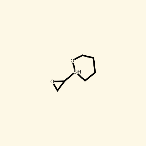 C1CC[SiH](C2CO2)OC1